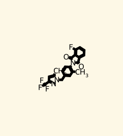 Cc1cc(Cn2nc(C(F)(F)F)cc2C)ccc1N1C(=O)c2cccc(F)c2C1=O